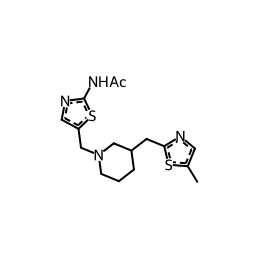 CC(=O)Nc1ncc(CN2CCCC(Cc3ncc(C)s3)C2)s1